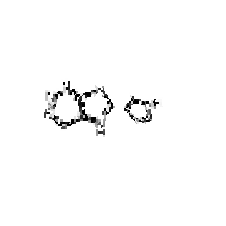 c1cc[nH]c1.c1nc2nnncc2[nH]1